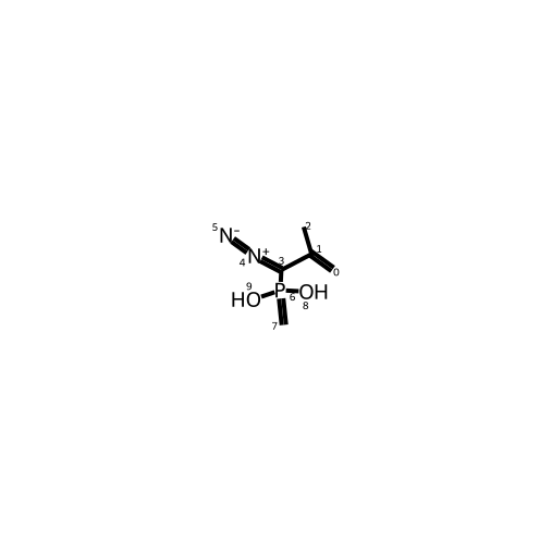 C=C(C)C(=[N+]=[N-])P(=C)(O)O